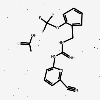 CC(=O)O.N#Cc1cccc(NC(=N)NCc2ccccc2OC(F)(F)F)n1